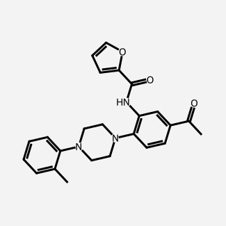 CC(=O)c1ccc(N2CCN(c3ccccc3C)CC2)c(NC(=O)c2ccco2)c1